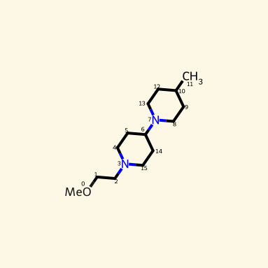 COCCN1CCC(N2CCC(C)CC2)CC1